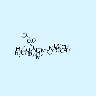 CC(C)(C)OC(=O)c1cccc(CN2CCNCCN(C(CCC(=O)OCc3ccccc3)C(=O)OC(C)(C)C)CC2)n1